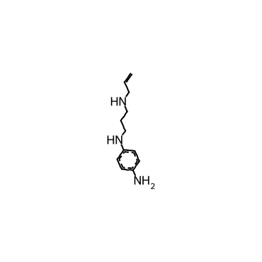 C=CCNCCCNc1ccc(N)cc1